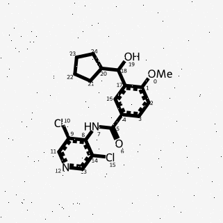 COc1ccc(C(=O)Nc2c(Cl)cncc2Cl)cc1C(O)C1CCCC1